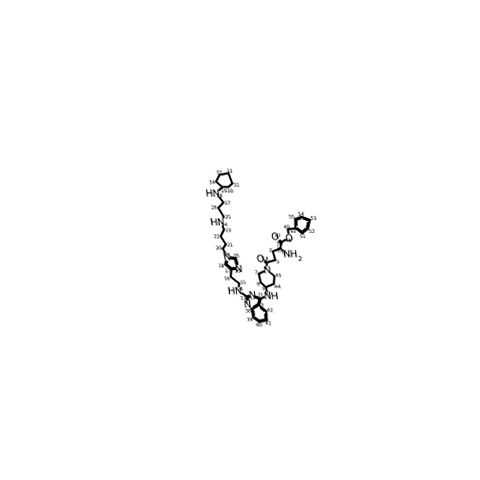 N[C@@H](CCC(=O)N1CCC(Nc2nc(NCCc3cn(CCCCNCCCNC4CCCCC4)cn3)nc3ccccc23)CC1)C(=O)OCc1ccccc1